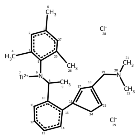 Cc1cc(C)c([N]([Ti+2])C(C)c2ccccc2C2=CC(CN(C)C)=CC2)c(C)c1.[Cl-].[Cl-]